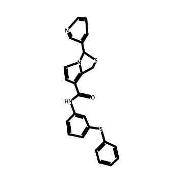 O=C(Nc1cccc(Sc2ccccc2)c1)c1ccn2c1CSC2c1cccnc1